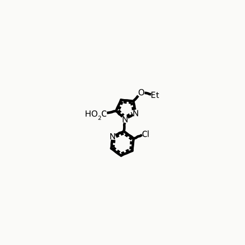 CCOc1cc(C(=O)O)n(-c2ncccc2Cl)n1